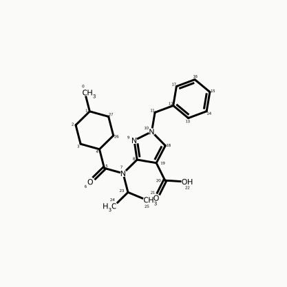 CC1CCC(C(=O)N(c2nn(Cc3ccccc3)cc2C(=O)O)C(C)C)CC1